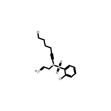 C=CCN(C#CCCCCCl)S(=O)(=O)c1ccccc1Cl